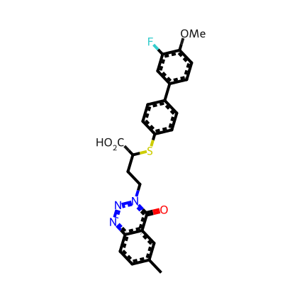 COc1ccc(-c2ccc(SC(CCn3nnc4ccc(C)cc4c3=O)C(=O)O)cc2)cc1F